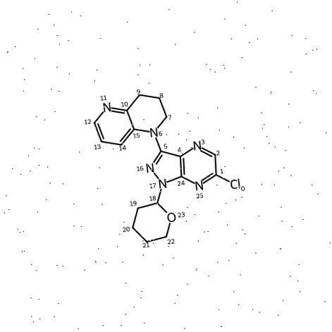 Clc1cnc2c(N3CCCc4ncccc43)nn(C3CCCCO3)c2n1